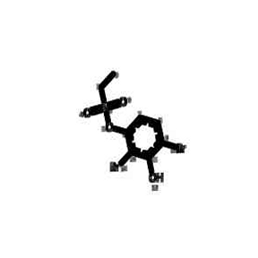 CCS(=O)(=O)Oc1ccc(Br)c(O)c1Br